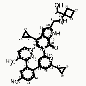 Cc1ccnnc1-c1cc(C#N)ccc1-c1cc(C2CC2)nc(-n2cc(C3CC3)c3cc(CNC4(CO)CCC4)[nH]c3c2=O)c1